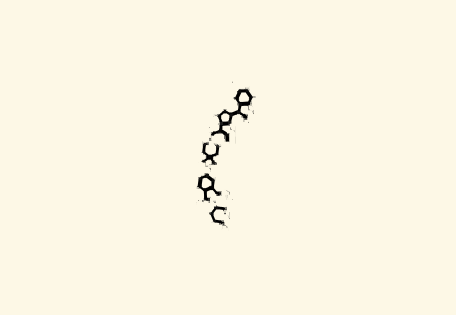 Cc1[nH]c2c(c1C(=O)N1CCC3(CC1)CN(c1ccc4c(c1)C(=O)N(C1CCC(=O)NC1=O)C4=O)C3)CCC2=C1C(=O)Nc2ccc(F)cc21